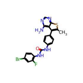 Cc1sc2ncnc(N)c2c1-c1ccc(NC(=O)Nc2ccc(Br)cc2F)cc1